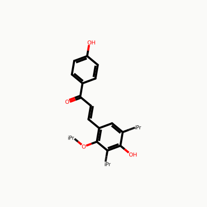 CC(C)Oc1c(C=CC(=O)c2ccc(O)cc2)cc(C(C)C)c(O)c1C(C)C